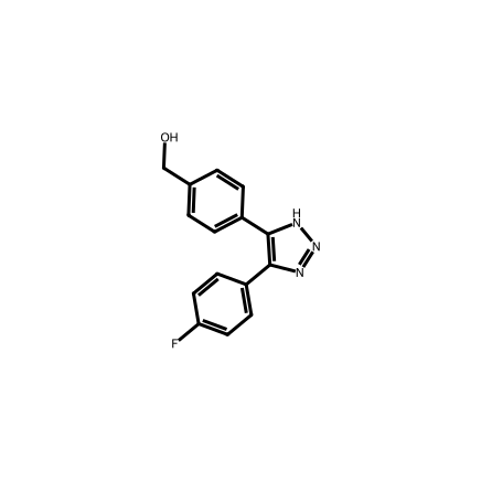 OCc1ccc(-c2[nH]nnc2-c2ccc(F)cc2)cc1